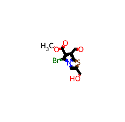 COC(=O)c1c(C=O)c2sc(CO)cn2c1Br